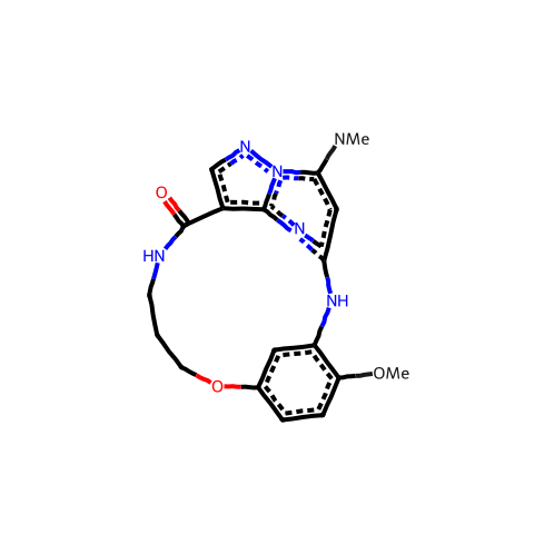 CNc1cc2nc3c(cnn13)C(=O)NCCCOc1ccc(OC)c(c1)N2